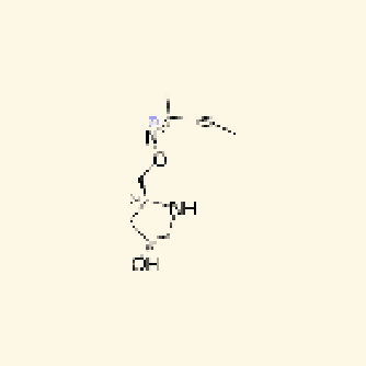 CC#C/C(C)=N\OC[C@@H]1C[C@@H](O)CN1